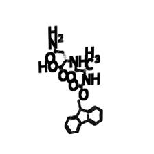 C[C@H](NC(=O)OCC1c2ccccc2-c2ccccc21)C(=O)N[C@@H](CC(N)=O)C(=O)O